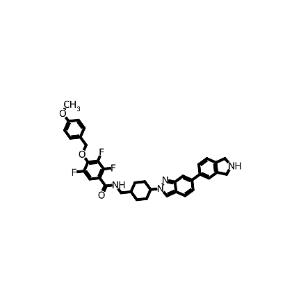 COc1ccc(COc2c(F)cc(C(=O)NCC3CCC(n4cc5ccc(-c6ccc7c(c6)CNC7)cc5n4)CC3)c(F)c2F)cc1